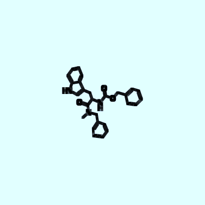 CN(Cc1ccccc1)C(=O)C(Cc1c[nH]c2ccccc12)NC(=O)OCc1ccccc1